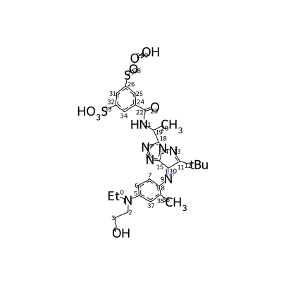 CCN(CCO)c1ccc(/N=C2/C(C(C)(C)C)=Nn3c2nnc3C(C)NC(=O)c2cc(SOOO)cc(S(=O)(=O)O)c2)c(C)c1